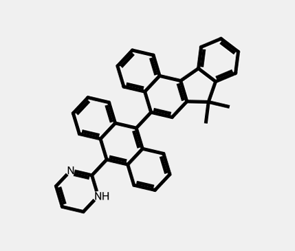 CC1(C)c2ccccc2-c2c1cc(-c1c3ccccc3c(C3=NC=CCN3)c3ccccc13)c1ccccc21